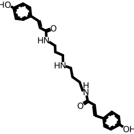 O=C(/C=C/c1ccc(O)cc1)NCCCCNCCCNC(=O)/C=C/c1ccc(O)cc1